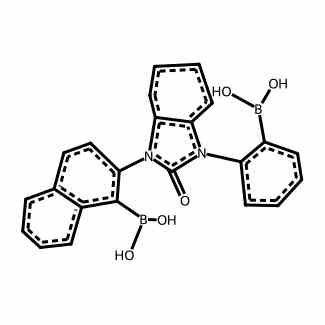 O=c1n(-c2ccccc2B(O)O)c2ccccc2n1-c1ccc2ccccc2c1B(O)O